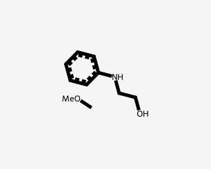 COC.OCCNc1ccccc1